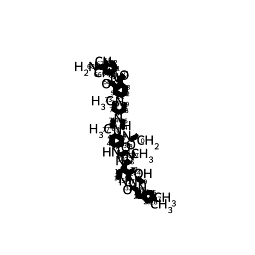 C=CC(=O)Nc1cc(Nc2nc(-c3ccnc(N4CCn5c(cc6c5CC(C)(C)C6)C4=O)c3CO)cn(C)c2=O)ccc1N1CCN(C2CCN(c3ccc4c(c3)C(=O)N(c3ccnc(C(C)(C)N)c3)C4=O)[C@@H](C)C2)C[C@@H]1C